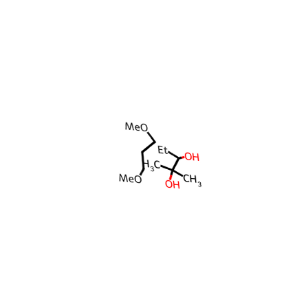 CCC(O)C(C)(C)O.COCCCOC